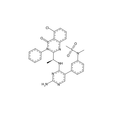 C[C@H](Nc1nc(N)ncc1-c1cccc(N(C)S(C)(=O)=O)c1)c1nc2cccc(Cl)c2c(=O)n1-c1ccccc1